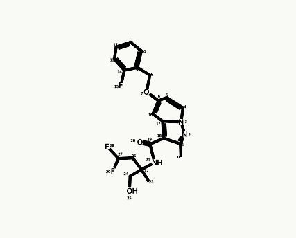 Cc1nn2ccc(OCc3ccccc3F)cc2c1C(=O)NC(C)(CO)CC(F)F